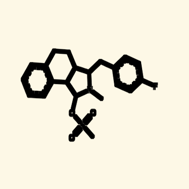 CN1C(Cc2ccc(F)cc2)C2CCc3ccccc3C2C1OS(C)(=O)=O